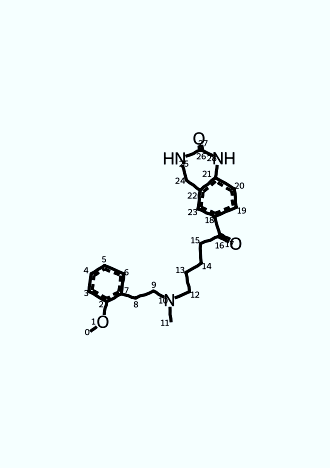 COc1ccccc1CCN(C)CCCCC(=O)c1ccc2c(c1)CNC(=O)N2